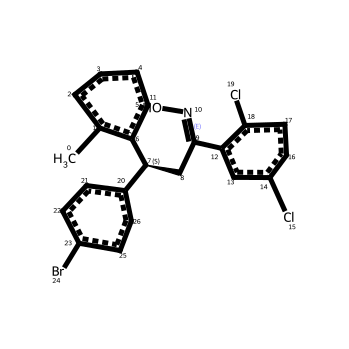 Cc1ccccc1[C@@H](C/C(=N\O)c1cc(Cl)ccc1Cl)c1ccc(Br)cc1